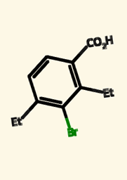 CCc1ccc(C(=O)O)c(CC)c1Br